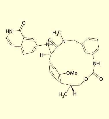 COc1cc2ccc1[C@@H](C)COC(=O)Nc1cccc(c1)CN(C)C(=O)[C@@H]2Nc1ccc2cc[nH]c(=O)c2c1